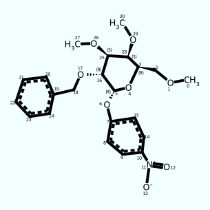 COC[C@H]1O[C@H](Oc2ccc([N+](=O)[O-])cc2)[C@H](OCc2ccccc2)[C@@H](OC)[C@H]1OC